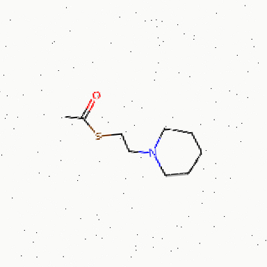 CC(=O)SCCN1CCCCC1